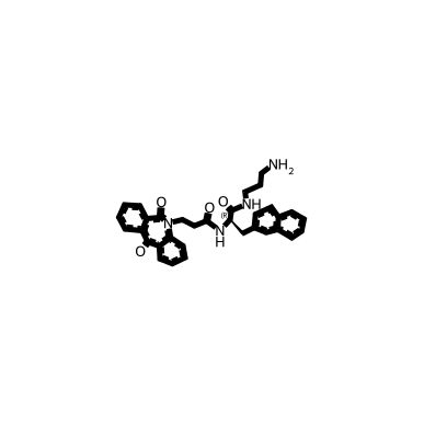 NCCCNC(=O)[C@@H](Cc1ccc2ccccc2c1)NC(=O)CCn1c(=O)c2ccccc2c(=O)c2ccccc21